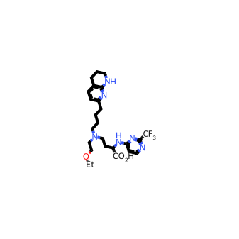 CCOCCN(CCCCc1ccc2c(n1)NCCC2)CCC(Nc1ccnc(C(F)(F)F)n1)C(=O)O